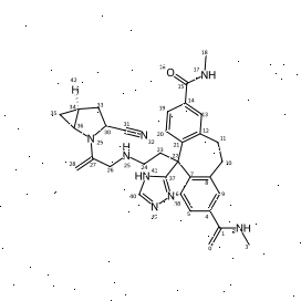 C=C(NC)c1ccc2c(c1)CCc1cc(C(=O)NC)ccc1C2(CCNCC(=C)N1C(C#N)C[C@@H]2CC21)c1nnc[nH]1